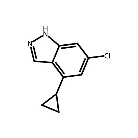 Clc1cc(C2CC2)c2cn[nH]c2c1